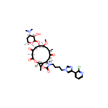 CO[C@@]1(C)C[C@@H](C)C(=O)[C@H](C)[C@H]2N(CCCCn3cnc(-c4cccnc4Cl)c3)C(=O)O[C@@]23C(C)[C@H]3OC(=O)[C@H](C)C(=O)[C@H](C)[C@H]1OC1O[C@H](C)C[C@H](N(C)C)[C@H]1O